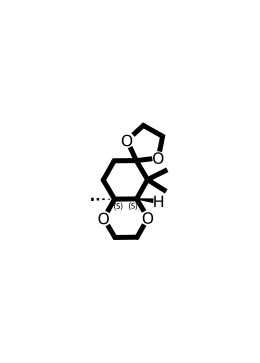 CC1(C)[C@@H]2OCCO[C@@]2(C)CCC12OCCO2